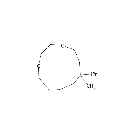 CC(C)C1(C)CCCCCCCCCC1